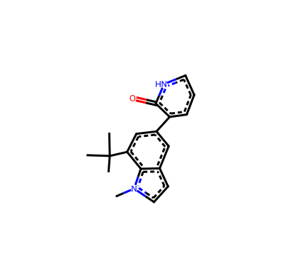 Cn1ccc2cc(-c3ccc[nH]c3=O)cc(C(C)(C)C)c21